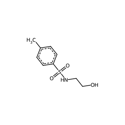 Cc1ccc(S(=O)(=O)NCCO)cc1